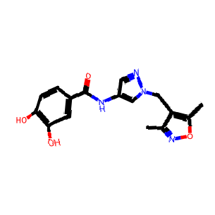 Cc1noc(C)c1Cn1cc(NC(=O)c2ccc(O)c(O)c2)cn1